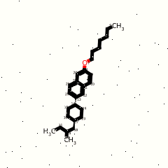 CCCCCCCOc1ccc2cc([C@H]3CC[C@H](CC(C)CC)CC3)ccc2c1